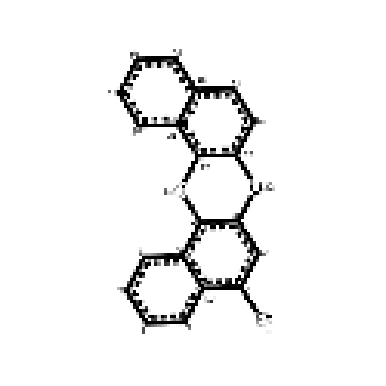 CCc1cc2c(c3ccccc13)Oc1c(ccc3ccccc13)O2